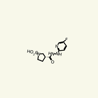 O=C(NNc1ccc(F)cn1)[C@@H]1CCN(C(=O)O)C1